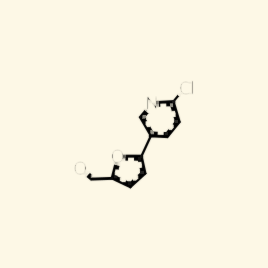 O=Cc1ccc(-c2ccc(Cl)nc2)o1